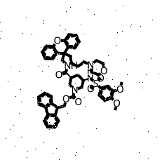 COc1ccc(S(=O)(=O)N[C@@H]2C[C@H](C(=O)NCC3(CCCCN4CCOCC4)c4ccccc4Oc4ccccc43)CN(C(=O)OCC3c4ccccc4-c4ccccc43)C2)cc1OC